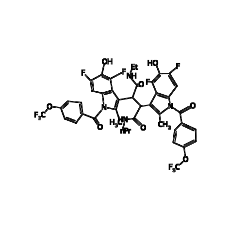 CCCNC(=O)C(c1c(C)n(C(=O)c2ccc(OC(F)(F)F)cc2)c2cc(F)c(O)c(F)c12)C(C(=O)NCC)c1c(C)n(C(=O)c2ccc(OC(F)(F)F)cc2)c2cc(F)c(O)c(F)c12